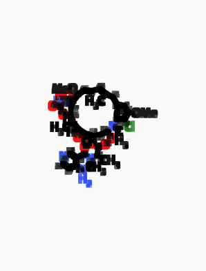 COc1cc2cc(c1Cl)N(C)C(=O)C[C@H](OC(=O)[C@H](C)N(C)C(=O)c1cnccc1N)[C@]1(C)O[C@H]1[C@H](C)[C@@H]1C[C@@](O)(NC(=O)O1)[C@H](OC)/C=C/C=C(\C)C2